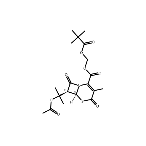 CC(=O)OC(C)(C)[C@H]1C(=O)N2C(C(=O)OCOC(=O)C(C)(C)C)=C(C)C(=O)S[C@@H]12